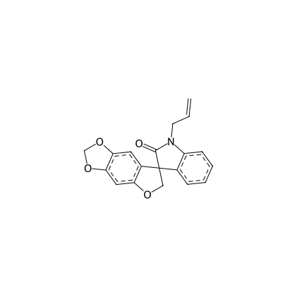 C=CCN1C(=O)C2(COc3cc4c(cc32)OCO4)c2ccccc21